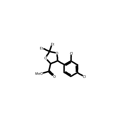 CCC1(CC)OC(C(=O)OC)C(c2ccc(Cl)cc2Cl)O1